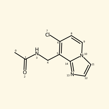 CC(=O)NCc1c(Cl)ccn2ccnc12